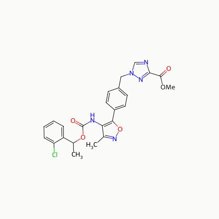 COC(=O)c1ncn(Cc2ccc(-c3onc(C)c3NC(=O)OC(C)c3ccccc3Cl)cc2)n1